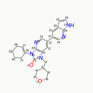 O=c1n(CC2CCOCC2)c2cc(-c3cnc4[nH]ccc4c3)cnc2n1C1=CCCCC1